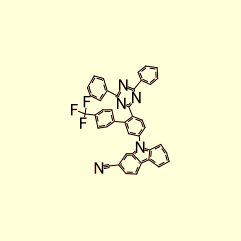 N#Cc1ccc2c3ccccc3n(-c3ccc(-c4nc(-c5ccccc5)nc(-c5ccccc5)n4)c(-c4ccc(C(F)(F)F)cc4)c3)c2c1